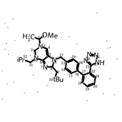 COC(C)N1C=C2C(=NC(CC(C)(C)C)N2Cc2ccc(-c3ccccc3-c3nnn[nH]3)cc2)N(CC(C)C)C1